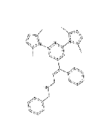 Cc1ccc(C)n1-c1cc(/C(=C/CNCc2ccccc2)c2ccccc2)cc(-n2c(C)ccc2C)n1